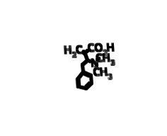 C=C(C(=O)O)C(Cc1ccccc1)N(C)C